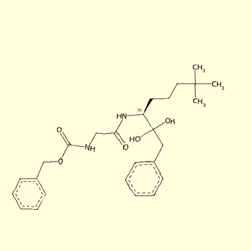 CC(C)(C)CCC[C@H](NC(=O)CNC(=O)OCc1ccccc1)C(O)(O)Cc1ccccc1